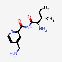 CC[C@H](C)[C@H](N)C(=O)NC(=O)c1cc(CN)ccn1